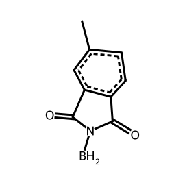 BN1C(=O)c2ccc(C)cc2C1=O